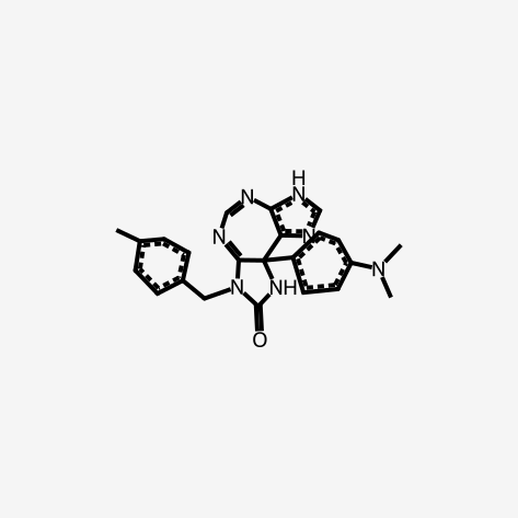 Cc1ccc(CN2C(=O)NC3(c4ccc(N(C)C)cc4)C2=NC=Nc2[nH]cnc23)cc1